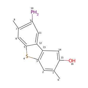 Cc1cc2sc3cc(C)c(P)cc3c2cc1O